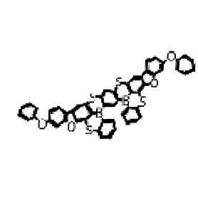 c1ccc(Oc2ccc3c(c2)oc2c4c5c(cc23)Sc2cc3c(cc2B5c2ccccc2S4)B2c4ccccc4Sc4c2c(cc2c4oc4cc(Oc5ccccc5)ccc42)S3)cc1